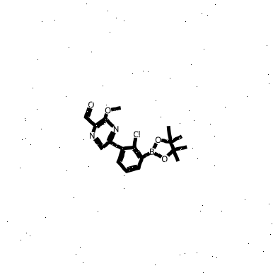 COc1nc(-c2cccc(B3OC(C)(C)C(C)(C)O3)c2Cl)cnc1C=O